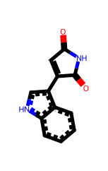 O=C1[C]=C(c2c[nH]c3ccccc23)C(=O)N1